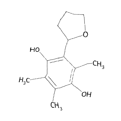 Cc1c(C)c(O)c(C2CCCO2)c(C)c1O